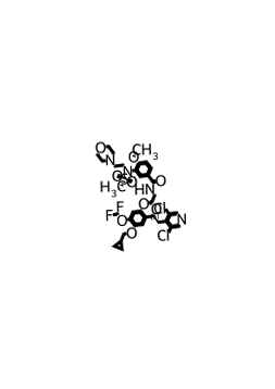 COc1ccc(C(=O)NCC(=O)O[C@@H](Cc2c(Cl)cncc2Cl)c2ccc(OC(F)F)c(OCC3CC3)c2)cc1N(CCN1CCOCC1)S(C)(=O)=O